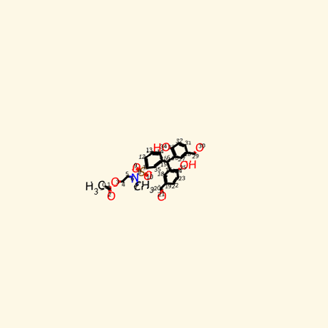 CC(=O)OCCN(C)S(=O)(=O)c1cccc(C(c2cc(C=O)ccc2O)c2cc(C=O)ccc2O)c1